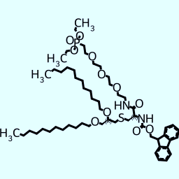 CCCCCCCCCCCCOC[C@H](CSC[C@H](NC(=O)OCC1c2ccccc2-c2ccccc21)C(=O)NCCOCCOCCOCCP(=O)(OCC)OCC)OCCCCCCCCCCCC